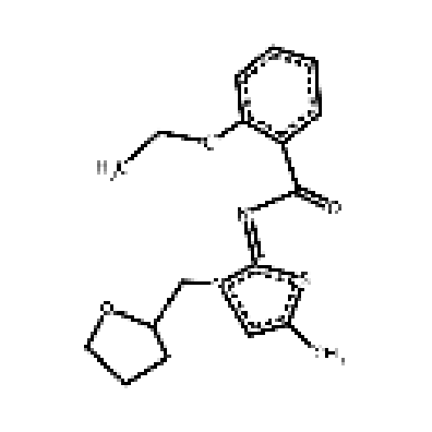 CCOc1ccccc1C(=O)N=c1sc(C)cn1CC1CCCO1